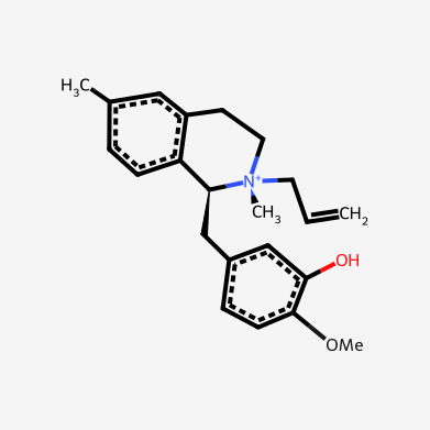 C=CC[N@@+]1(C)CCc2cc(C)ccc2[C@@H]1Cc1ccc(OC)c(O)c1